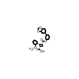 COc1ccccc1[C@H]1[C@@H](C(=O)O)C[C@H]1C(=O)Oc1cccc(-c2ccc3c(c2)OCO3)c1